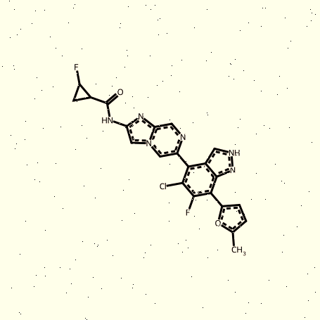 Cc1ccc(-c2c(F)c(Cl)c(-c3cn4cc(NC(=O)C5CC5F)nc4cn3)c3c[nH]nc23)o1